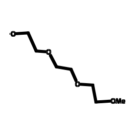 COCCOCCOCC[O]